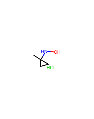 CC1(NO)CC1.Cl